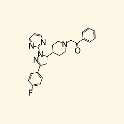 O=C(CN1CCC(c2cc(-c3ccc(F)cc3)nn2-c2ncccn2)CC1)c1ccccc1